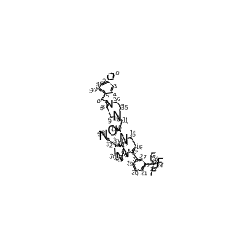 COc1ccc(CN2CCN(CC(=O)N3CC=C(c4cccc(C(F)(F)F)c4)n4ncc(C#N)c43)CC2)cc1